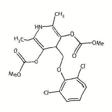 COC(=O)OC1=C(C)NC(C)=C(OC(=O)OC)C1COc1c(Cl)cccc1Cl